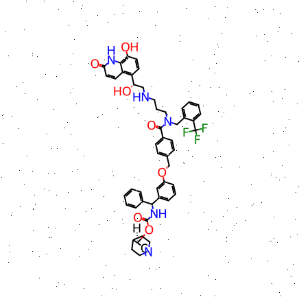 O=C(N[C@@H](c1ccccc1)c1cccc(OCc2ccc(C(=O)N(CCCNC[C@H](O)c3ccc(O)c4[nH]c(=O)ccc34)Cc3ccccc3C(F)(F)F)cc2)c1)O[C@H]1CN2CCC1CC2